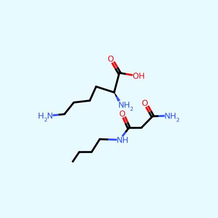 CCCCNC(=O)CC(N)=O.NCCCC[C@H](N)C(=O)O